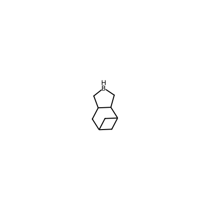 B1CC2CC3CC(C3)C2C1